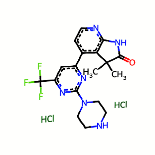 CC1(C)C(=O)Nc2nccc(-c3cc(C(F)(F)F)nc(N4CCNCC4)n3)c21.Cl.Cl